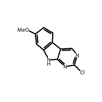 COc1ccc2c(c1)[nH]c1nc(Cl)ncc12